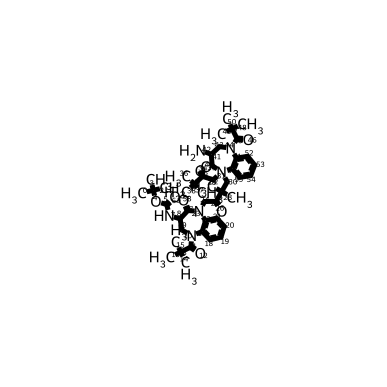 CC(C)(C)OC(=O)NC1CN(C(=O)C(C)(C)C)c2ccccc2N(CC(=O)C(C)(C)C[N+]2(CC(=O)C(C)(C)C)C(=O)C(N)CN(C(=O)C(C)(C)C)c3ccccc32)C1=O